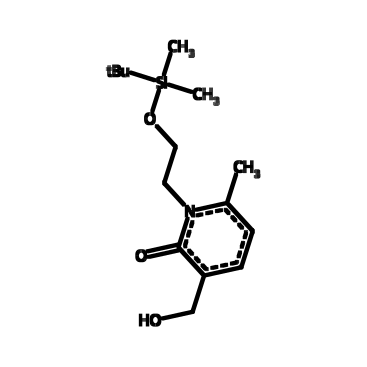 Cc1ccc(CO)c(=O)n1CCO[Si](C)(C)C(C)(C)C